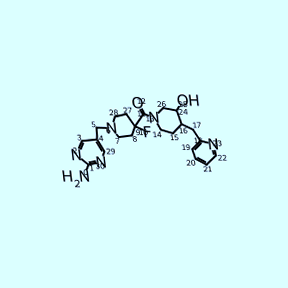 Nc1ncc(CN2CCC(F)(C(=O)N3CCC(Cc4ccccn4)C(O)C3)CC2)cn1